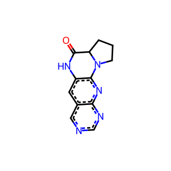 O=C1Nc2cc3cncnc3nc2N2CCCC12